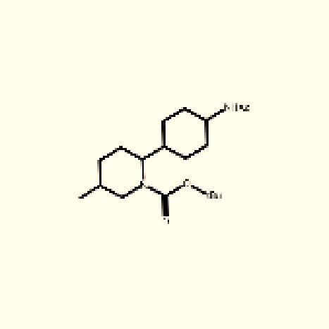 CC(=O)NC1CCC(C2CCC(C)CN2C(=O)OC(C)(C)C)CC1